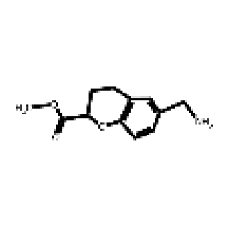 COC(=O)C1CCc2cc(CN)ccc2O1